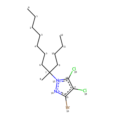 CCCCCCCC(C)(CCCC)n1nc(Br)c(Cl)c1Cl